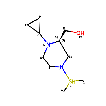 C[SH](C)N1CCN(C2CC2)[C@@H](CO)C1